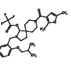 Cc1cc(C(=O)N2CCC3(CC2)CCN(Cc2ccccc2OCC(C)C)C3OC(=O)C(F)(F)F)c(C)o1